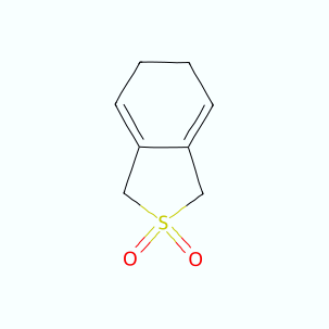 O=S1(=O)CC2=CCCC=C2C1